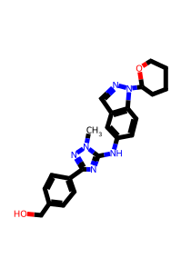 Cn1nc(-c2ccc(CO)cc2)nc1Nc1ccc2c(cnn2C2CCCCO2)c1